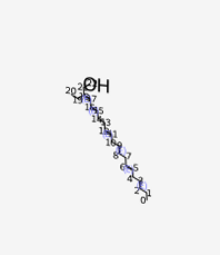 CC/C=C/C/C=C/C/C=C/C/C=C/CC/C=C/C=C(\CC)CO